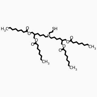 CCCCCCCC(=O)OCC(CCCCN(CCS)CCCCC(COC(=O)CCCCCCC)COC(=O)CCCCCCC)COC(=O)CCCCCCC